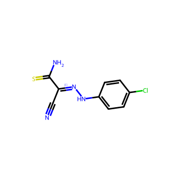 N#C/C(=N\Nc1ccc(Cl)cc1)C(N)=S